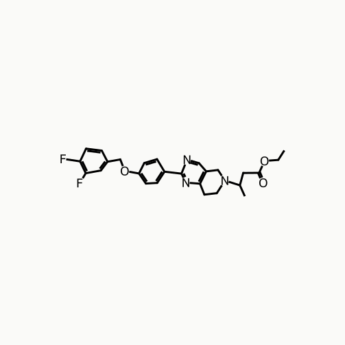 CCOC(=O)CC(C)N1CCc2nc(-c3ccc(OCc4ccc(F)c(F)c4)cc3)ncc2C1